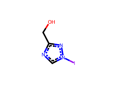 OCc1ncn(I)n1